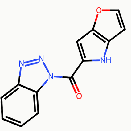 O=C(c1cc2occc2[nH]1)n1nnc2ccccc21